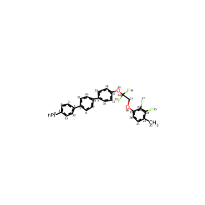 CCCc1ccc(-c2ccc(-c3ccc(OC(F)(F)COc4ccc(C)c(F)c4F)cc3)cc2)cc1